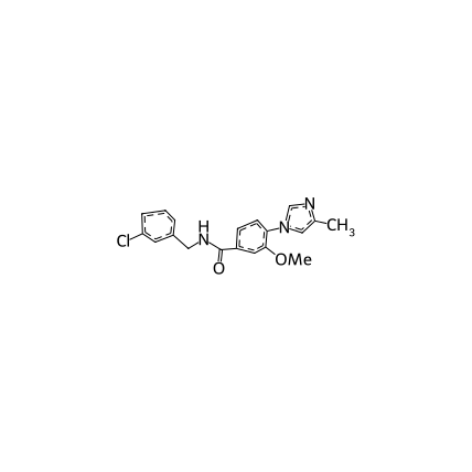 COc1cc(C(=O)NCc2cccc(Cl)c2)ccc1-n1cnc(C)c1